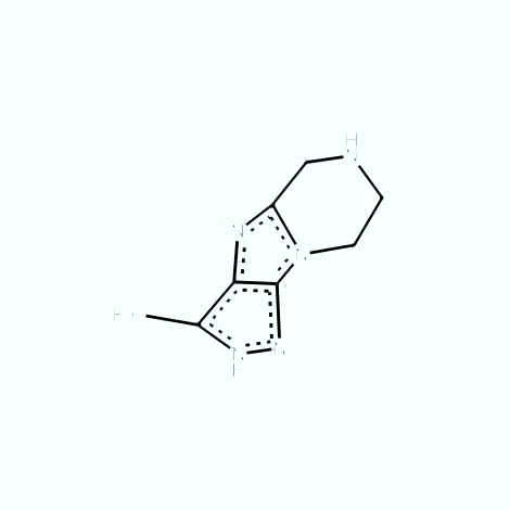 FC(F)(F)c1[nH]nc2c1nc1n2CCNC1